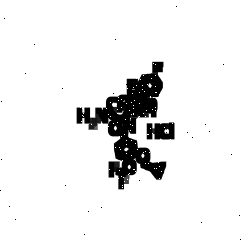 C[C@H](N)c1oc(-c2ccc(OC(F)F)c(OCC3CC3)c2)nc1C(=O)NS(=O)(=O)c1ccc(F)cc1F.Cl